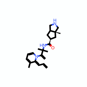 C=C/C=C1/C(C)=CC=CN1C(=C)C(C)(C)NC(=O)[C@H]1CC2CNC[C@]2(C)C1